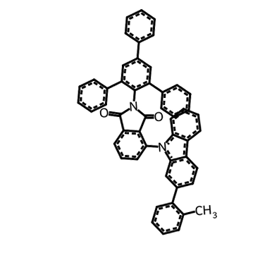 Cc1ccccc1-c1ccc2c3ccccc3n(-c3cccc4c3C(=O)N(c3c(-c5ccccc5)cc(-c5ccccc5)cc3-c3ccccc3)C4=O)c2c1